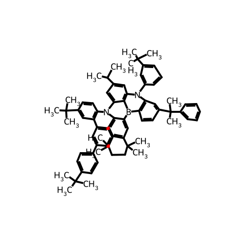 CC(C)c1cc2c3c(c1)N(c1ccc(C(C)(C)C)cc1-c1cccc(-c4ccc(C(C)(C)C)cc4)c1)c1cc4c(cc1B3c1ccc(C(C)(C)c3ccccc3)cc1N2c1cccc(C(C)(C)C)c1)C(C)(C)CCC4(C)C